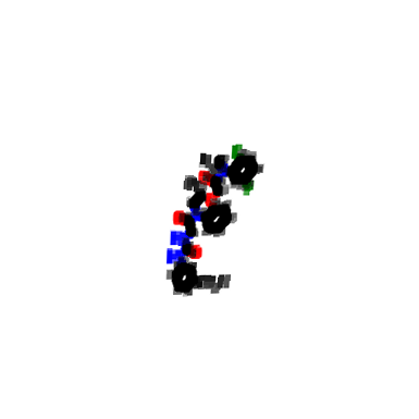 CC(C)CCN(C(=O)CNC(=O)Nc1cccc(C(=O)O)c1)c1ccccc1OCC(=O)N(C)c1cc(F)ccc1F